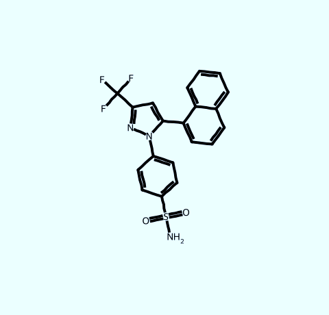 NS(=O)(=O)c1ccc(-n2nc(C(F)(F)F)cc2-c2cccc3ccccc23)cc1